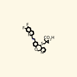 O=C(O)CC1(CSC2c3cc(/C=C/c4ccc5cc(F)c(F)cc5n4)ccc3OCc3ncccc32)CC1